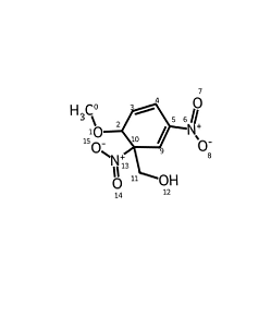 COC1C=CC([N+](=O)[O-])=CC1(CO)[N+](=O)[O-]